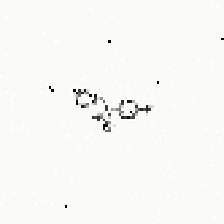 C[N+]([O-])=C(Cn1ccnc1)c1ccc(F)cc1